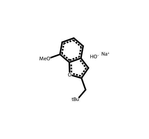 COc1cccc2cc(CC(C)(C)C)oc12.[Na+].[OH-]